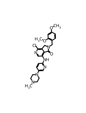 COc1ccc(CN2Cc3c(Cl)ncc(Nc4ccc(N5CCN(C)CC5)cn4)c3C2=O)c(OC)c1